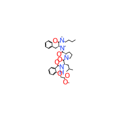 CCCCN(C)C(=O)[C@H](Cc1ccccc1)N(C)C(=O)[C@H]1CCCN1C(=O)[C@@H](CC(C)C)NC(=O)c1ccccc1OCC(=O)OC